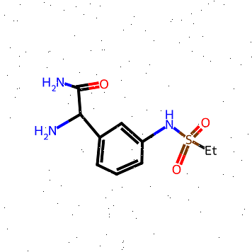 CCS(=O)(=O)Nc1cccc(C(N)C(N)=O)c1